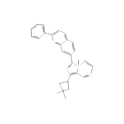 CC1(O)CC(C2=C3C=NC=C[N+]3(Cl)C(c3ccc4ccc(-c5ccccc5)nc4c3)=N2)C1